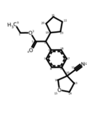 CCOC(=O)C(c1ccc(C2(C#N)CCOC2)cc1)C1CCCC1